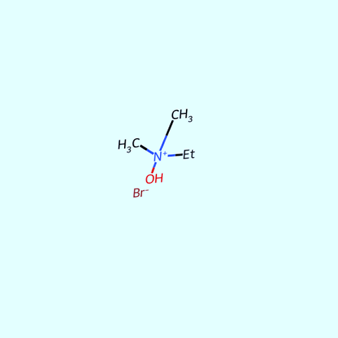 CC[N+](C)(C)O.[Br-]